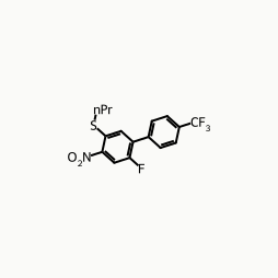 CCCSc1cc(-c2ccc(C(F)(F)F)cc2)c(F)cc1[N+](=O)[O-]